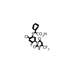 Cn1c(C(F)(F)F)cc(=O)n(-c2cc(SC(C(=O)O)c3ccccc3)c(Cl)cc2F)c1=O